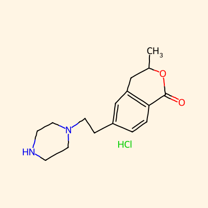 CC1Cc2cc(CCN3CCNCC3)ccc2C(=O)O1.Cl